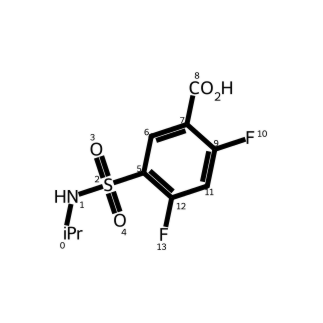 CC(C)NS(=O)(=O)c1cc(C(=O)O)c(F)cc1F